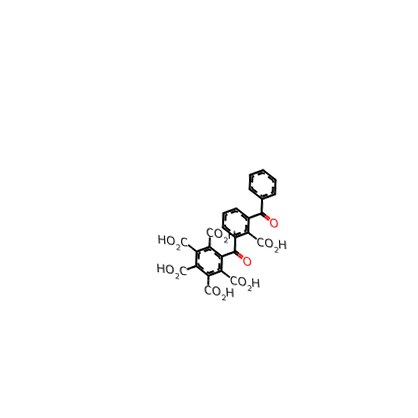 O=C(c1ccccc1)c1cccc(C(=O)c2c(C(=O)O)c(C(=O)O)c(C(=O)O)c(C(=O)O)c2C(=O)O)c1C(=O)O